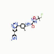 Cc1cc(-c2ncnn3cc(-c4cnn(C)c4)cc23)ccc1CNC(=O)c1noc(C(C)(C)CF)n1